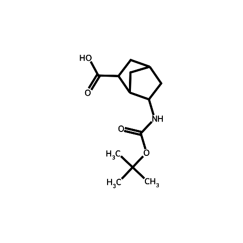 CC(C)(C)OC(=O)NC1CC2CC(C(=O)O)C1C2